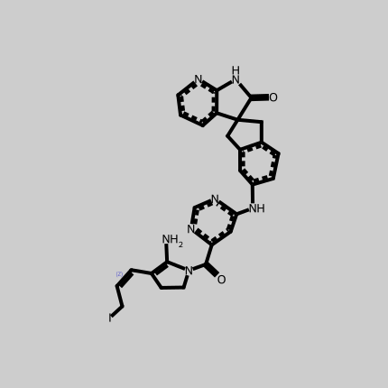 NC1=C(/C=C\CI)CCN1C(=O)c1cc(Nc2ccc3c(c2)CC2(C3)C(=O)Nc3ncccc32)ncn1